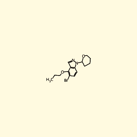 CCCOc1c(Br)ccc2c1cnn2C1CCCCO1